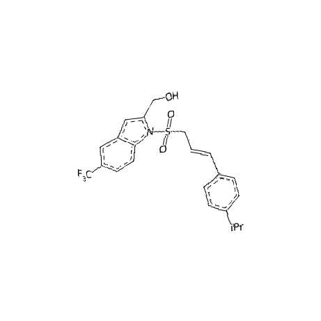 CC(C)c1ccc(C=CCS(=O)(=O)n2c(CO)cc3cc(C(F)(F)F)ccc32)cc1